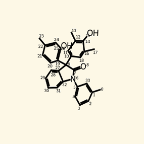 Cc1cccc(N2C(=O)C(c3cc(C)c(O)c(C)c3)(c3ccc(C)cc3O)c3ccccc32)c1